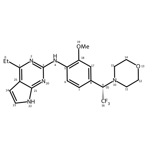 CCc1nc(Nc2ccc([C@H](N3CCOCC3)C(F)(F)F)cc2OC)nc2[nH]ccc12